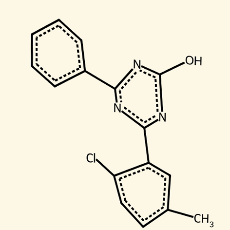 Cc1ccc(Cl)c(-c2nc(O)nc(-c3ccccc3)n2)c1